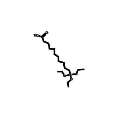 CCO[Si](CCCCCCCCCCC(=O)O)(OCC)OCC